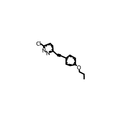 CCCOc1ccc(C#Cc2ccc(Cl)nn2)cc1